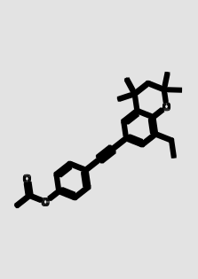 CCc1cc(C#Cc2ccc(OC(C)=O)cc2)cc2c1OC(C)(C)CC2(C)C